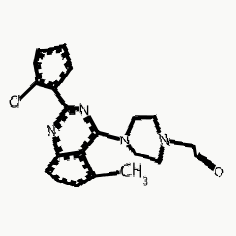 Cc1cccc2nc(-c3ccccc3Cl)nc(N3CCN(CC=O)CC3)c12